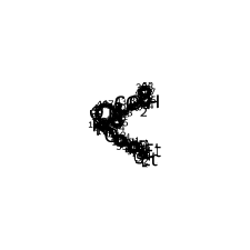 CCN(CC)S(=O)(=O)N1CCN(c2ccc(OCc3nn(C)c4c3-c3cccc5c(CCCOc6cccc7ccccc67)c(C(=O)O)n(c35)CCCCOC4)cc2)CC1